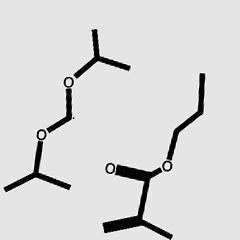 C=C(C)C(=O)OCCC.CC(C)O[CH]OC(C)C